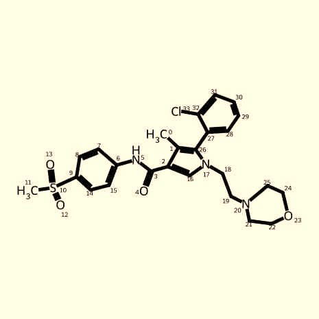 Cc1c(C(=O)Nc2ccc(S(C)(=O)=O)cc2)cn(CCN2CCOCC2)c1-c1ccccc1Cl